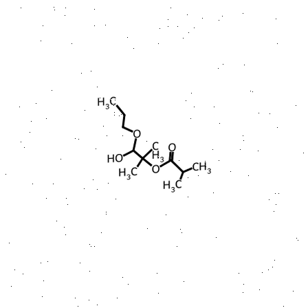 CCCOC(O)C(C)(C)OC(=O)C(C)C